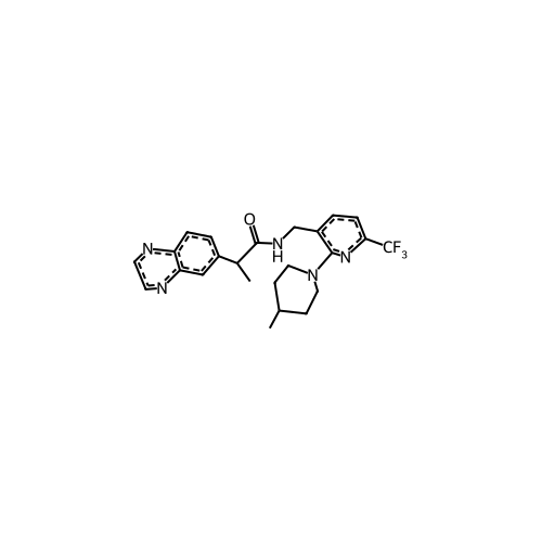 CC1CCN(c2nc(C(F)(F)F)ccc2CNC(=O)C(C)c2ccc3nccnc3c2)CC1